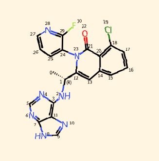 C[C@@H](Nc1ncnc2[nH]cnc12)c1cc2cccc(Cl)c2c(=O)n1-c1cccnc1F